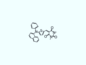 CN1C(=O)C(=Cc2ccc(N(c3ccccc3)c3cccc4ccccc34)s2)C(=O)N(C)C1=O